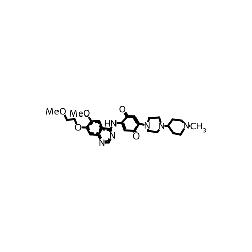 COCCOc1cc2ncnc(NC3=CC(=O)C(N4CCN(C5CCN(C)CC5)CC4)=CC3=O)c2cc1OC